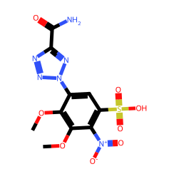 COc1c(-n2nnc(C(N)=O)n2)cc(S(=O)(=O)O)c([N+](=O)[O-])c1OC